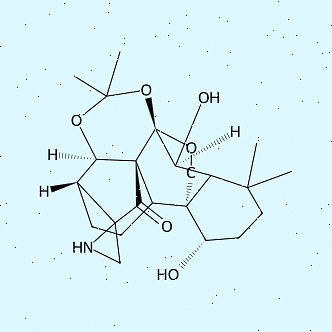 CC1(C)O[C@@H]2[C@H]3CCC4[C@@]56CO[C@](O1)([C@@H](O)C5C(C)(C)CC[C@@H]6O)[C@]42C(=O)C31CN1